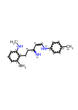 Bc1cccc(NC)c1CCC(=N)/C=C\Nc1ccc(C)cc1